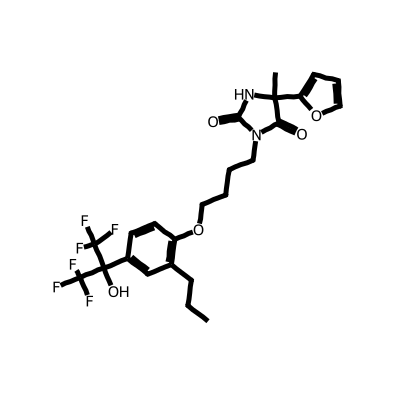 CCCc1cc(C(O)(C(F)(F)F)C(F)(F)F)ccc1OCCCCN1C(=O)NC(C)(c2ccco2)C1=O